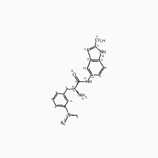 CC(=O)N(C)c1cccc(C[C@H](N)C(=O)Nc2ccc3[nH]c(C(=O)O)nc3c2)c1